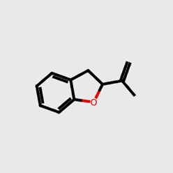 C=C(C)C1Cc2ccccc2O1